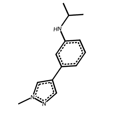 CC(C)Nc1cccc(-c2cnn(C)c2)c1